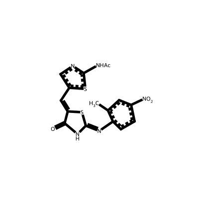 CC(=O)Nc1ncc(C=C2SC(=Nc3ccc([N+](=O)[O-])cc3C)NC2=O)s1